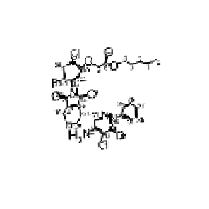 CCCCCOC(=O)COc1cc(N2C(=O)C3=C(CCCC3)C2=O)c(F)cc1Cl.Nc1cnn(-c2ccccc2)c(=O)c1Cl